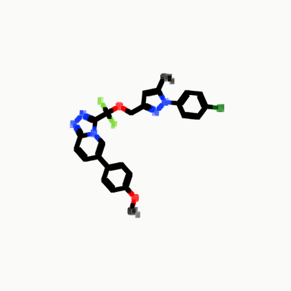 Cc1cc(COC(F)(F)c2nnc3ccc(-c4ccc(OC(F)(F)F)cc4)cn23)nn1-c1ccc(Cl)cc1